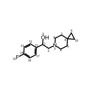 OC(CN1CCC2(CC1)CC2)c1ccc(F)cc1